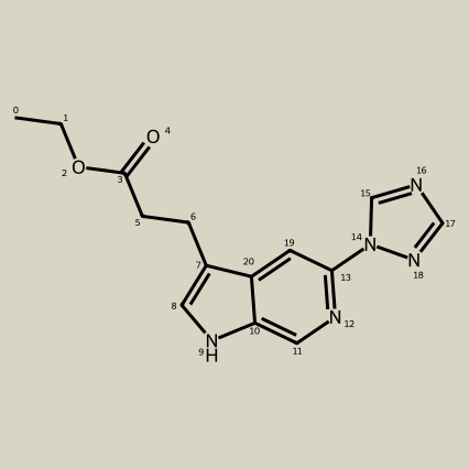 CCOC(=O)CCc1c[nH]c2cnc(-n3cncn3)cc12